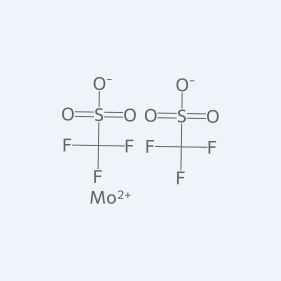 O=S(=O)([O-])C(F)(F)F.O=S(=O)([O-])C(F)(F)F.[Mo+2]